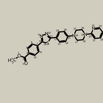 COC(=O)c1ccc(-c2nnc(-c3ccc(N4CCN(c5ccccn5)CC4)cc3)s2)cc1